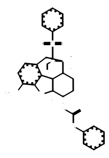 COc1ccc2c3c1O[C@@H]1[C@@H](NC(=O)Nc4ccccc4)CC[C@]4(O)[C@H](C2)N(S(=O)(=O)c2ccccc2)CC[C@@]314